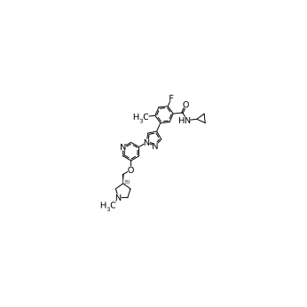 Cc1cc(F)c(C(=O)NC2CC2)cc1-c1cnn(-c2cncc(OC[C@H]3CCN(C)C3)c2)c1